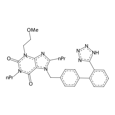 CCCc1nc2c(c(=O)n(CCC)c(=O)n2CCOC)n1Cc1ccc(-c2ccccc2-c2nnn[nH]2)cc1